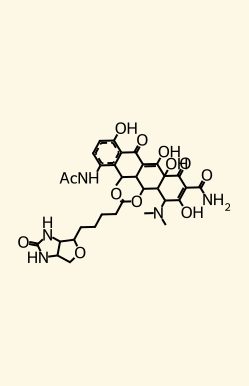 CC(=O)Nc1ccc(O)c2c1C(C)C1C(=C(O)C3(O)C(=O)C(C(N)=O)=C(O)C(N(C)C)C3C1OC(=O)CCCCC1OCC3NC(=O)NC31)C2=O